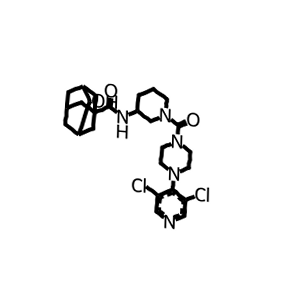 O=C(N1CCN(c2c(Cl)cncc2Cl)CC1)N1CCCC(NC(=O)C23CC4CC(C2)C(O)C(C4)C3)C1